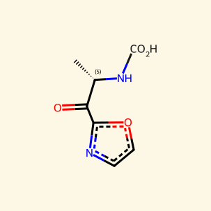 C[C@H](NC(=O)O)C(=O)c1ncco1